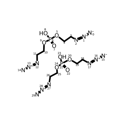 [N-]=[N+]=NCCOP(=O)(O)OCCN=[N+]=[N-].[N-]=[N+]=NCCOP(=O)(O)OCCN=[N+]=[N-]